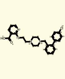 O=C(O)c1cccnc1SCCN1CCN(Cc2ccccc2-c2ccc(Cl)cc2)CC1